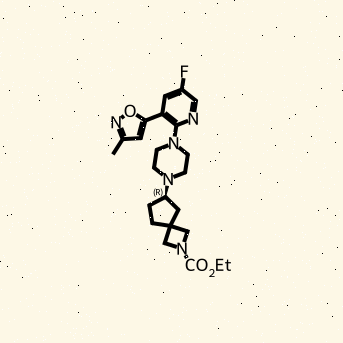 CCOC(=O)N1CC2(CC[C@@H](N3CCN(c4ncc(F)cc4-c4cc(C)no4)CC3)C2)C1